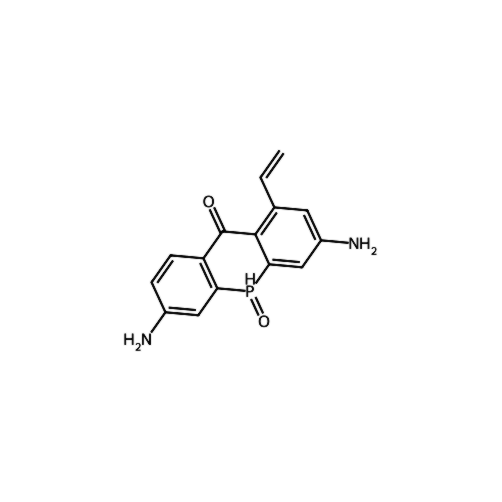 C=Cc1cc(N)cc2c1C(=O)c1ccc(N)cc1[PH]2=O